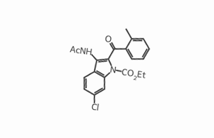 CCOC(=O)n1c(C(=O)c2ccccc2C)c(NC(C)=O)c2ccc(Cl)cc21